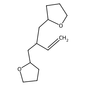 C=C[C](CC1CCCO1)CC1CCCO1